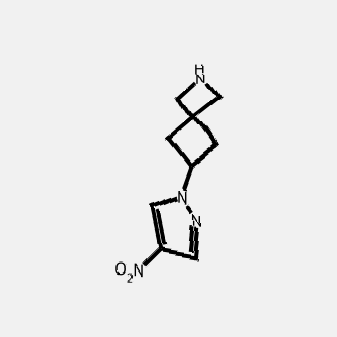 O=[N+]([O-])c1cnn(C2CC3(CNC3)C2)c1